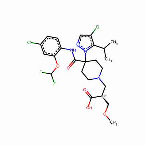 COC[C@H](CN1CCC(C(=O)Nc2ccc(Cl)cc2OC(F)F)(n2ncc(Cl)c2C(C)C)CC1)C(=O)O